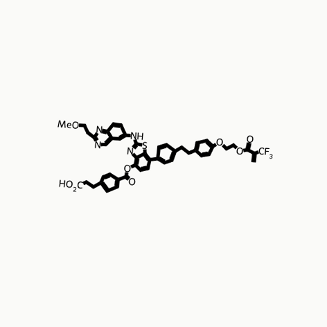 C=C(C(=O)OCCOc1ccc(CCc2ccc(-c3ccc(OC(=O)c4ccc(CCC(=O)O)cc4)c4nc(Nc5ccc6nc(CCOC)ncc6c5)sc34)cc2)cc1)C(F)(F)F